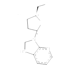 OC[C@H]1O[C@@](O)(N2CNc3cccnc32)C[C@@H]1O